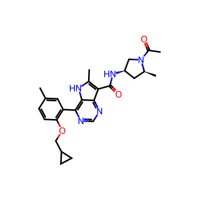 CC(=O)N1C[C@H](NC(=O)c2c(C)[nH]c3c(-c4cc(C)ccc4OCC4CC4)ncnc23)C[C@@H]1C